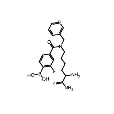 NC(=O)C(N)CCCCN(Cc1cbccc1)C(=O)c1ccc(B(O)O)c(F)c1